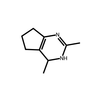 CC1=NC2=C(CCC2)C(C)N1